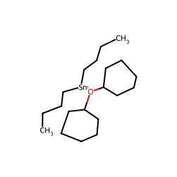 C1CCC(OC2CCCCC2)CC1.CCC[CH2][Sn][CH2]CCC